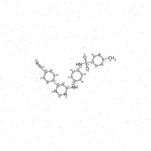 Cc1ccc(S(=O)(=O)Nc2ccc(Nc3cc(-c4ccc(C#N)cc4)ncn3)cc2)cc1